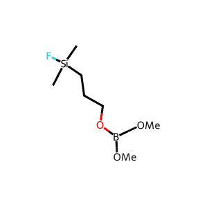 COB(OC)OCCC[Si](C)(C)F